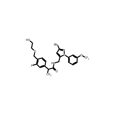 CC(C(=O)NCc1cc(C(C)(C)C)nn1-c1cccc(OC(F)(F)F)c1)c1ccc(COCCO)c(F)c1